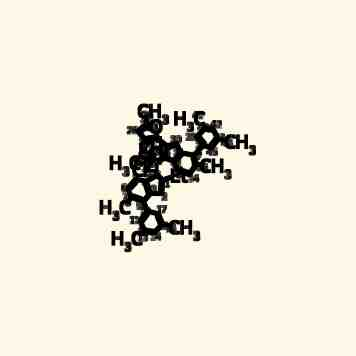 CCC1=Cc2c(ccc(C)c2-c2cc(C)cc(C)c2)[CH]1[Zr]([Cl])([Cl])([CH]1C(c2ccc(C)o2)=Cc2c1ccc(C)c2-c1cc(C)cc(C)c1)=[Si](C)C